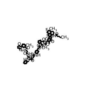 CCCCC(=O)N[C@H]1CCc2c(C)c(F)cc3nc4c(c1c23)Cn1c-4cc2c(c1=O)COC(=O)[C@@]2(CC)OC(=O)c1ccccc1CN(C)C(=O)OCc1ccc(NC(=O)CNC(=O)[C@H](Cc2ccccc2)NC(=O)CNC(=O)CNC(=O)c2cc(N3C(=O)C=CC3=O)ccc2C)cc1